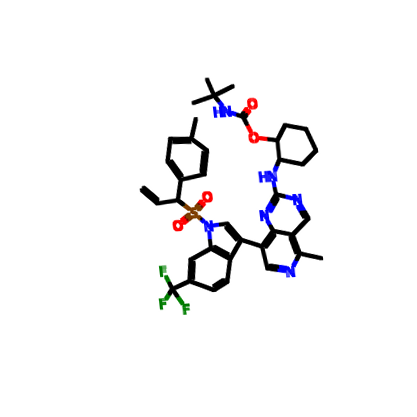 C=CC(c1ccc(C)cc1)S(=O)(=O)n1cc(-c2cnc(C)c3cnc(NC4CCCCC4OC(=O)NC(C)(C)C)nc23)c2ccc(C(F)(F)F)cc21